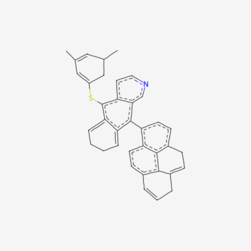 CC1=CC(C)CC(Sc2c3c(c(-c4ccc5c6c7c(ccc46)C=CCC7=CC5)c4cnccc24)=CCCC=3)=C1